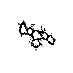 c1ccc2c(c1)[nH]c1c3sc4ccccc4c3c3ncccc3c21